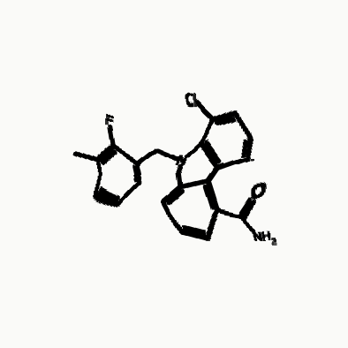 Cc1cccc(Cn2c3cccc(C(N)=O)c3c3[c]ccc(Cl)c32)c1F